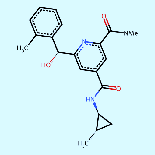 CNC(=O)c1cc(C(=O)N[C@H]2C[C@@H]2C)cc([C@H](O)c2ccccc2C)n1